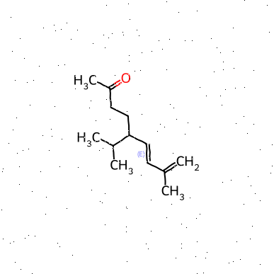 C=C(C)/C=C/C(CCC(C)=O)C(C)C